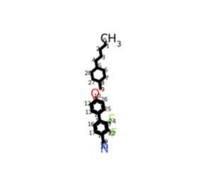 CCCCCC1CCC(COc2ccc(-c3ccc(C#N)c(F)c3F)cc2)CC1